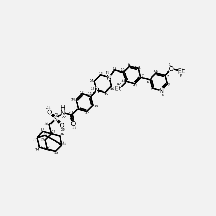 CCOc1cncc(-c2ccc(CN3CCN(c4ccc(C(=O)NS(=O)(=O)CC56CC7CC(CC(C7)C5)C6)cc4)CC3)c(CC)c2)c1